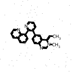 CC=C1c2cc(-c3cccnc3-c3cccc4cccnc34)ccc2N=CN1C